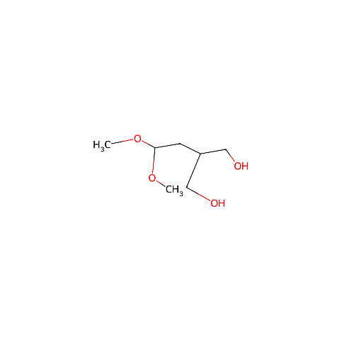 COC(CC(CO)CO)OC